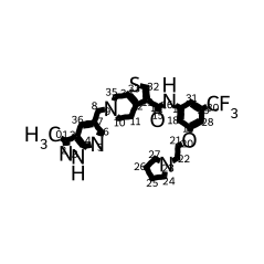 Cc1n[nH]c2ncc(CN3CCc4c(C(=O)Nc5cc(OCCN6CCCC6)cc(C(F)(F)F)c5)csc4C3)cc12